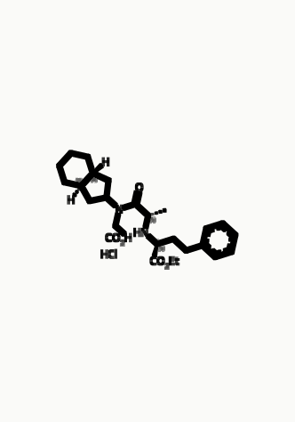 CCOC(=O)[C@H](CCc1ccccc1)N[C@@H](C)C(=O)N(CC(=O)O)C1C[C@H]2CCCC[C@@H]2C1.Cl